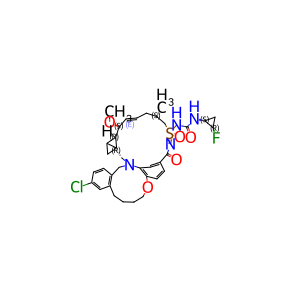 CO[C@H]1/C=C/C[C@H](C)CS(=O)(NC(=O)N[C@H]2C[C@H]2F)=NC(=O)c2ccc3c(c2)N(Cc2ccc(Cl)cc2CCCCO3)C[C@]23CC2[C@@H]13